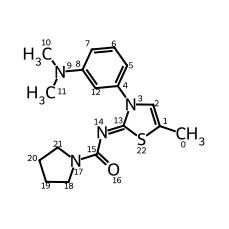 Cc1cn(-c2cccc(N(C)C)c2)c(=NC(=O)N2CCCC2)s1